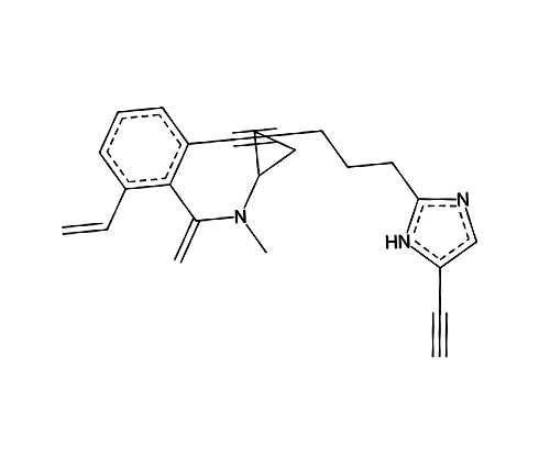 C#Cc1cnc(CCCC#Cc2cccc(C=C)c2C(=C)N(C)C2CC2)[nH]1